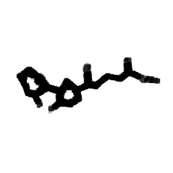 COC(=O)CCCC(=O)c1ccc(F)c(-c2ccccc2F)c1